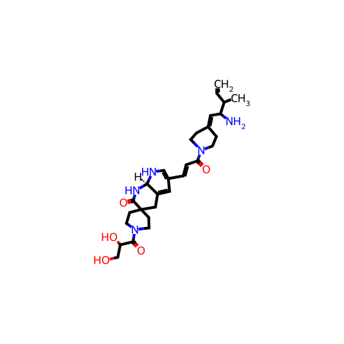 C=CC(C)C(N)C=C1CCN(C(=O)/C=C/C2=CN[C@@H]3NC(=O)C4(CCN(C(=O)C(O)CO)CC4)CC3=C2)CC1